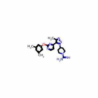 Cc1cc(C)cc(Oc2nccc(-c3c(C)nnn3C3CCN(C(=N)N)CC3)n2)c1